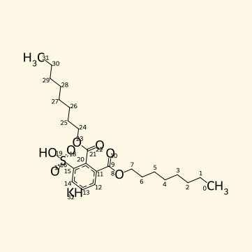 CCCCCCCCOC(=O)c1cccc(S(=O)(=O)O)c1C(=O)OCCCCCCCC.[KH]